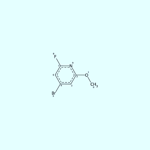 COc1cc(Br)cc(F)n1